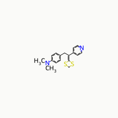 CN(C)c1ccc(CC(=C2SCS2)c2ccncc2)cc1